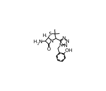 CC1(C)S[C@@H]2C(N)C(=O)N2C1c1nnnn1Cc1ccccc1O